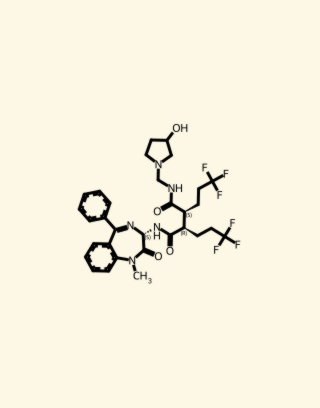 CN1C(=O)[C@@H](NC(=O)[C@H](CCC(F)(F)F)[C@H](CCC(F)(F)F)C(=O)NCN2CCC(O)C2)N=C(c2ccccc2)c2ccccc21